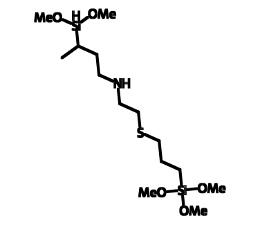 CO[SiH](OC)C(C)CCNCCSCCC[Si](OC)(OC)OC